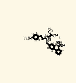 CC(C)c1nc(CCc2ccc(N)cc2)n(Cc2ccc(-c3ccccc3-c3nnn[nH]3)cc2)n1